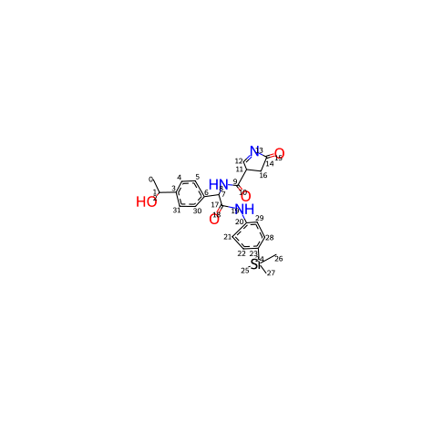 CC(O)c1ccc(C(NC(=O)C2C=NC(=O)C2)C(=O)Nc2ccc([Si](C)(C)C)cc2)cc1